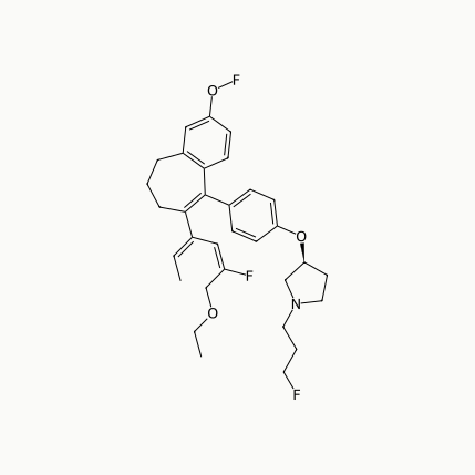 C/C=C(\C=C(\F)COCC)C1=C(c2ccc(O[C@H]3CCN(CCCF)C3)cc2)c2ccc(OF)cc2CCC1